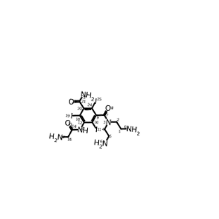 NCCN(CCN)C(=O)c1c(I)c(NC(=O)CN)c(I)c(C(N)=O)c1I